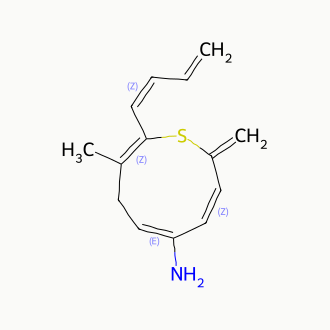 C=C/C=C\C1=C(/C)C/C=C(N)\C=C/C(=C)S1